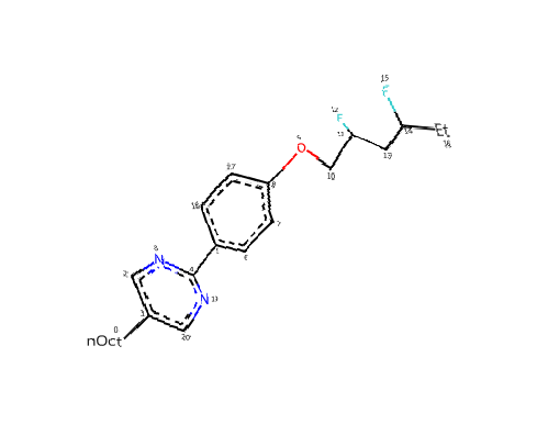 CCCCCCCCc1cnc(-c2ccc(OCC(F)CC(F)CC)cc2)nc1